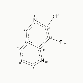 Fc1c(Cl)ncc2cccnc12